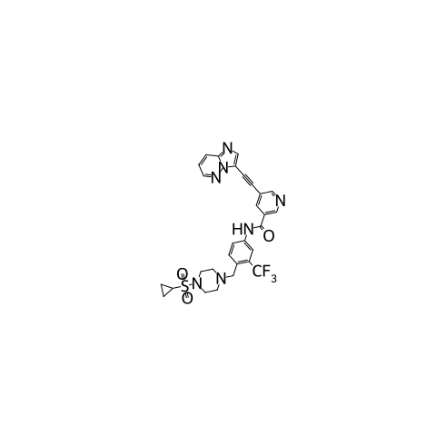 O=C(Nc1ccc(CN2CCN(S(=O)(=O)C3CC3)CC2)c(C(F)(F)F)c1)c1cncc(C#Cc2cnc3cccnn23)c1